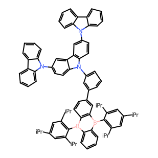 CC(C)c1cc(C(C)C)c(B2c3ccccc3B(c3c(C(C)C)cc(C(C)C)cc3C(C)C)c3cc(-c4cccc(-n5c6ccc(-n7c8ccccc8c8ccccc87)cc6c6cc(-n7c8ccccc8c8ccccc87)ccc65)c4)ccc32)c(C(C)C)c1